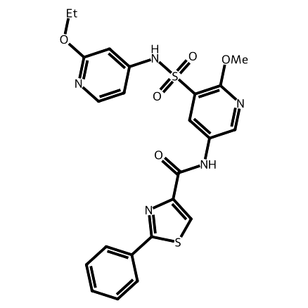 CCOc1cc(NS(=O)(=O)c2cc(NC(=O)c3csc(-c4ccccc4)n3)cnc2OC)ccn1